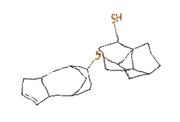 SC1CCC2C3CCC12C(SC1CC2CC1C1CC=CC21)C3